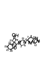 O=C(N1CCN(c2ccc3nncn3n2)CC1)C1(c2ccccc2)CC(O)C1